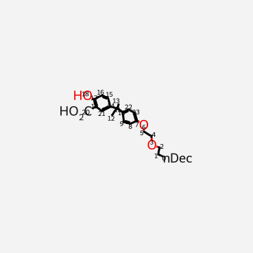 CCCCCCCCCCCCOCCOc1ccc(C(C)(C)c2ccc(O)c(C(=O)O)c2)cc1